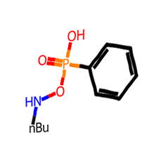 CCCCNOP(=O)(O)c1ccccc1